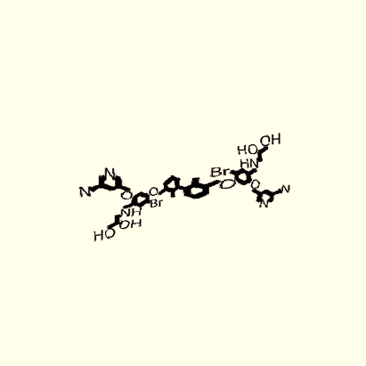 Cc1c(COc2cc(OCc3cncc(C#N)c3)c(CNCC(O)CO)cc2Br)cccc1-c1cccc(COc2cc(OCc3cncc(C#N)c3)c(CNC[C@H](O)CO)cc2Br)c1C